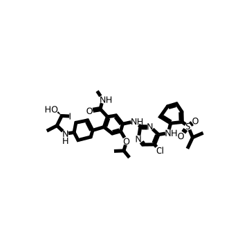 CNC(=O)c1cc(Nc2ncc(Cl)c(Nc3ccccc3S(=O)(=O)C(C)C)n2)c(OC(C)C)cc1C1=CCC(NC(C)[C@H](O)I)CC1